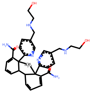 CC1(c2ccc(CNCCO)cn2)C(C(N)=O)=CC=CC1C1C=CC=C(C(N)=O)C1(C)c1ccc(CNCCO)cn1